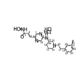 Cl.Cl.O=C(C=Cc1cnc(N[C@@H]2CCCN(CCc3cccc(F)c3)C2)cn1)NO